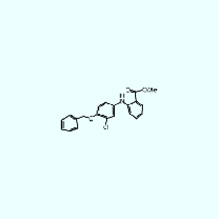 COC(=O)c1ccccc1Nc1ccc(OCc2ccccc2)c(Cl)c1